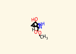 CCOC(=O)c1n[nH]c2c1[C@H]1CC1C2O